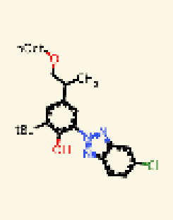 CCCCCCCCOCC(C)c1cc(-n2nc3ccc(Cl)cc3n2)c(O)c(C(C)(C)C)c1